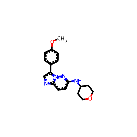 COc1ccc(-c2cnc3ccc(NC4CCOCC4)nn23)cc1